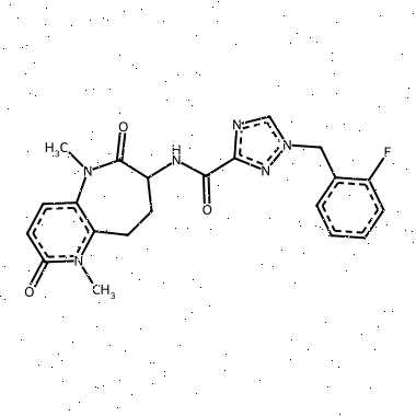 CN1C(=O)C(NC(=O)c2ncn(Cc3ccccc3F)n2)CCc2c1ccc(=O)n2C